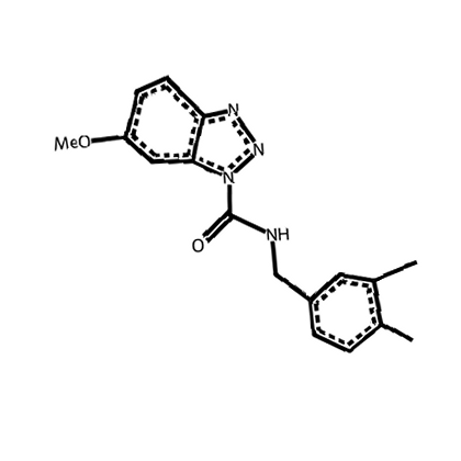 COc1ccc2nnn(C(=O)NCc3ccc(C)c(C)c3)c2c1